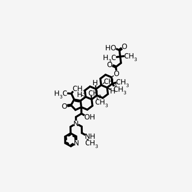 CNCCN(Cc1cccnc1)CC(O)C12CC[C@]3(C)[C@H](CC[C@@H]4[C@@]5(C)CC[C@H](OC(=O)CC(C)(C)C(=O)O)C(C)(C)[C@@H]5CC[C@]43C)C1=C(C(C)C)C(=O)C2